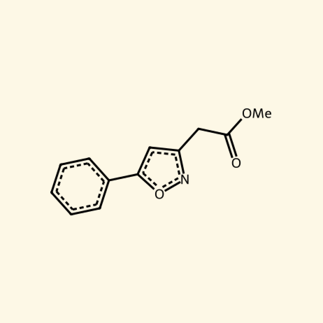 [CH2]OC(=O)Cc1cc(-c2ccccc2)on1